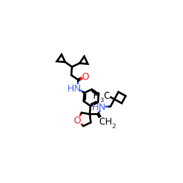 C=C(NCC1(C)CCC1)C1(c2cccc(NC(=O)CC(C3CC3)C3CC3)c2)CCOC1